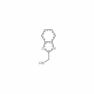 [NH]Cc1nc2ccccc2o1